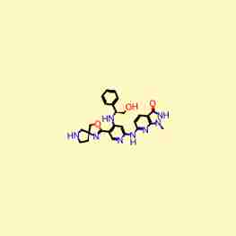 Cn1[nH]c(=O)c2ccc(Nc3cc(N[C@H](CO)c4ccccc4)c(C4=N[C@@]5(CCNC5)CO4)cn3)nc21